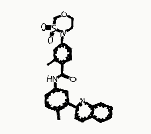 Cc1cc(N2CCOCS2(=O)=O)ccc1C(=O)Nc1ccc(C)c(-c2ccc3ccccc3n2)c1